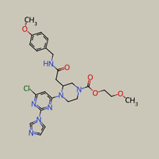 COCCOC(=O)N1CCN(c2cc(Cl)nc(-n3ccnc3)n2)C(CC(=O)NCc2ccc(OC)cc2)C1